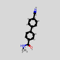 CNC(=O)c1ccc(-c2ccc(C#N)cc2)cc1